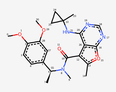 COc1ccc([C@H](C)N(C)C(=O)c2c(C)oc3ncnc(NC4(C)CC4)c23)cc1OC